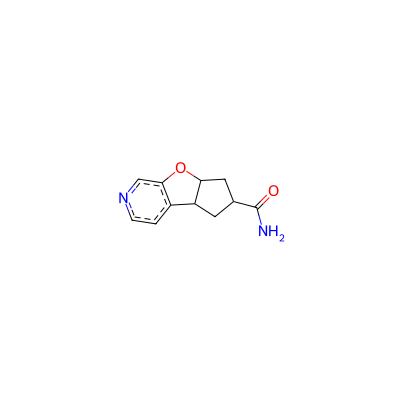 NC(=O)C1CC2Oc3cnccc3C2C1